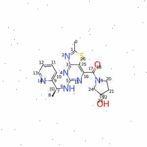 Cc1nc2nc(N[C@@H](C)c3ccccn3)nc(C(=O)N3CC[C@H](O)C3)c2s1